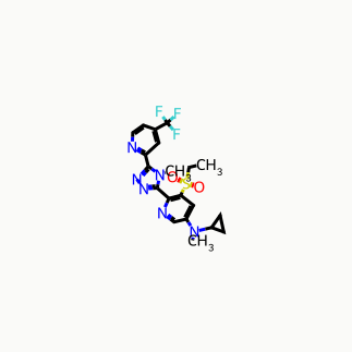 CCS(=O)(=O)c1cc(N(C)C2CC2)cnc1-c1nnc(-c2cc(C(F)(F)F)ccn2)n1C